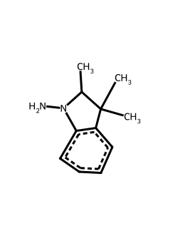 CC1N(N)c2ccccc2C1(C)C